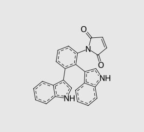 O=C1C=CC(=O)N1c1cccc(-c2c[nH]c3ccccc23)c1-c1c[nH]c2ccccc12